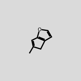 CC1=Cc2occc2C1